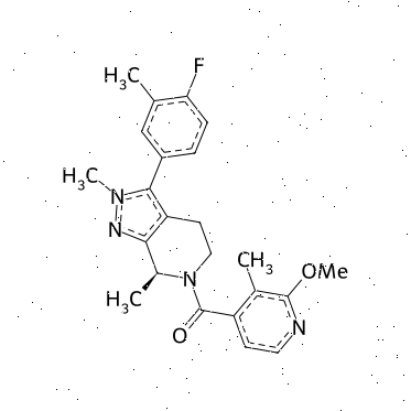 COc1nccc(C(=O)N2CCc3c(nn(C)c3-c3ccc(F)c(C)c3)[C@@H]2C)c1C